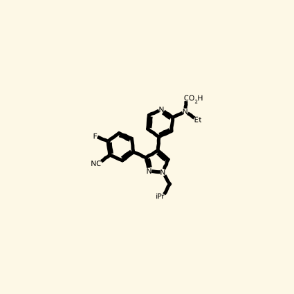 CCN(C(=O)O)c1cc(-c2cn(CC(C)C)nc2-c2ccc(F)c(C#N)c2)ccn1